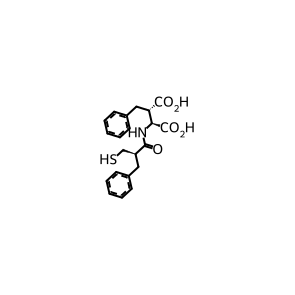 O=C(N[C@H](C(=O)O)[C@H](Cc1ccccc1)C(=O)O)[C@H](CS)Cc1ccccc1